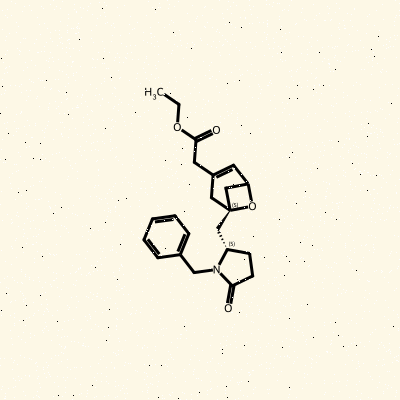 CCOC(=O)CC1=CC2C[C@@](C[C@@H]3CCC(=O)N3Cc3ccccc3)(C1)O2